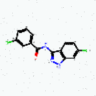 O=C(Nc1n[nH]c2cc(Cl)ccc12)c1cccc(Cl)c1